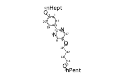 CCCCCCCOc1ccc(-c2ncc(OCCCCOCCCCC)cn2)cc1